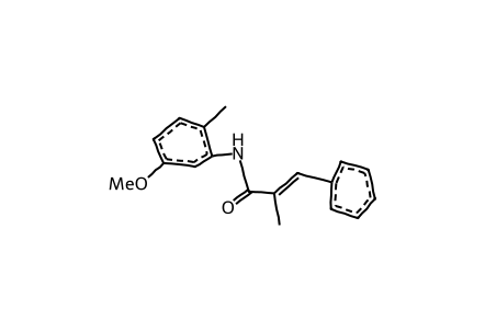 COc1ccc(C)c(NC(=O)C(C)=Cc2ccccc2)c1